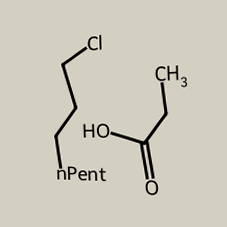 CCC(=O)O.CCCCCCCCCl